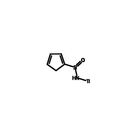 O=[Si]([NH][Ti])C1=CC=CC1